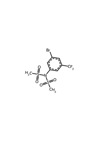 CS(=O)(=O)N(c1cc(Br)cc(C(F)(F)F)c1)S(C)(=O)=O